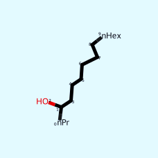 [CH2]CCC(O)CCCCCCCCCCCC